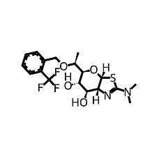 C[C@H](OCc1ccccc1C(F)(F)F)[C@H]1O[C@@H]2SC(N(C)C)=N[C@@H]2[C@@H](O)[C@@H]1O